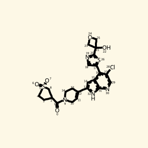 O=C(C1CCS(=O)(=O)C1)N1CC=C(c2cc3c(-c4cnc(C5(O)COC5)s4)c(Cl)cnc3[nH]2)CC1